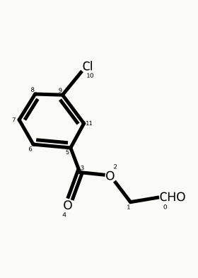 O=CCOC(=O)c1cccc(Cl)c1